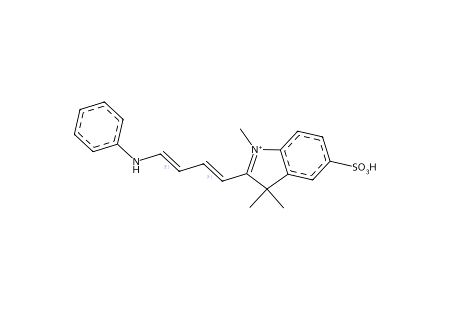 C[N+]1=C(/C=C/C=C/Nc2ccccc2)C(C)(C)c2cc(S(=O)(=O)O)ccc21